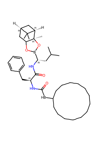 CC(C)C[C@H](NC(=O)[C@H](Cc1ccccc1)NC(=O)BC1CCCCCCCCCCCCC1)B1OC2C[C@H]3C[C@H](C3(C)C)[C@@]2(C)O1